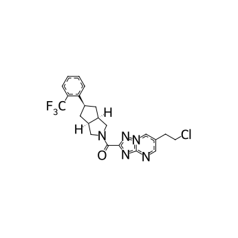 O=C(c1nc2ncc(CCCl)cn2n1)N1C[C@H]2C[C@@H](c3ccccc3C(F)(F)F)C[C@H]2C1